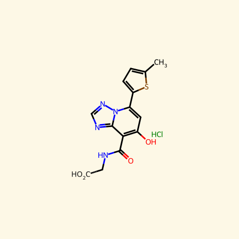 Cc1ccc(-c2cc(O)c(C(=O)NCC(=O)O)c3ncnn23)s1.Cl